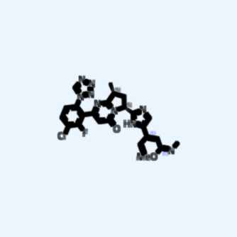 C=C/C(=C\C(=N/C)OC)c1cnc([C@@H]2C[C@H](C)c3nc(-c4c(-n5cnnn5)ccc(Cl)c4F)cc(=O)n32)[nH]1